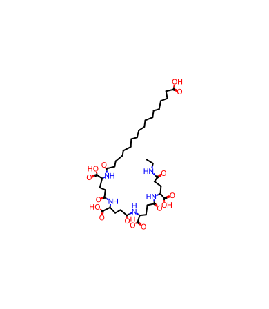 CCNC(=O)CCC(NC(=O)CCC(NC(=O)CCC(NC(=O)CCC(NC(=O)CCCCCCCCCCCCCCCCC(=O)O)C(=O)O)C(=O)O)C(=O)O)C(=O)O